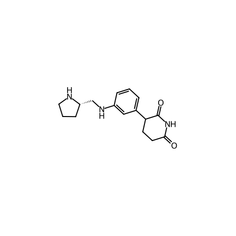 O=C1CCC(c2cccc(NC[C@@H]3CCCN3)c2)C(=O)N1